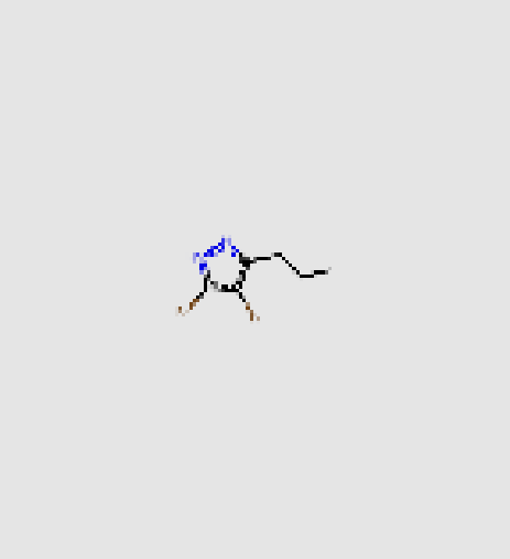 CCCc1n[nH]c(Br)c1Br